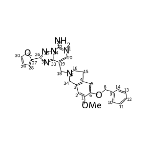 COc1cc2c(cc1OCc1ccccc1)CCN(Cc1cnc(N)n3nc(-c4ccco4)nc13)C2